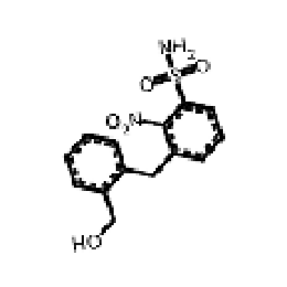 NS(=O)(=O)c1cccc(Cc2ccccc2CO)c1[N+](=O)[O-]